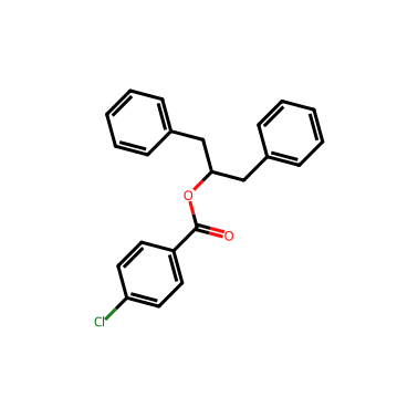 O=C(OC(Cc1ccccc1)Cc1ccccc1)c1ccc(Cl)cc1